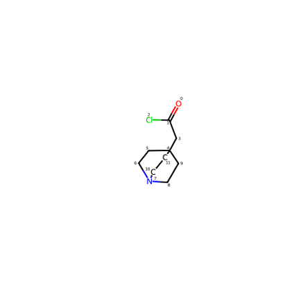 O=C(Cl)CC12CCN(CC1)CC2